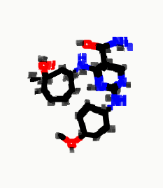 CO[C@H]1CC[C@H](Nc2ncc(C(N)=O)c(N[C@@H]3CCCC[C@@](C)(O)C3)n2)CC1